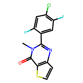 Cn1c(-c2cc(F)c(Cl)cc2F)nc2ccsc2c1=O